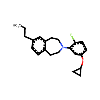 O=C(O)CCc1ccc2c(c1)CCN(c1cc(OC3CC3)ccc1F)CC2